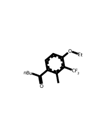 CCCCC(=O)c1ccc(OCC)c(C(F)(F)F)c1C